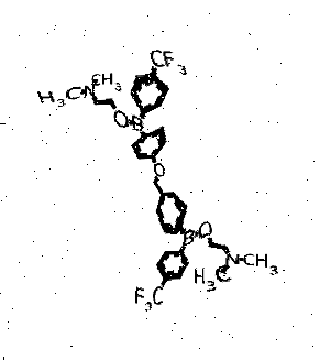 CN(C)CCOB(c1ccc(COc2ccc(B(OCCN(C)C)c3ccc(C(F)(F)F)cc3)cc2)cc1)c1ccc(C(F)(F)F)cc1